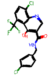 O=C(NCc1ccc(Cl)cc1)c1cnc2c(Cl)ccc(C(F)(F)F)c2c1O